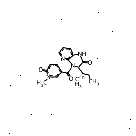 CC[C@H](C)C1C(=O)Nc2cccnc2N1C(=O)c1ccc(=O)n(C)c1